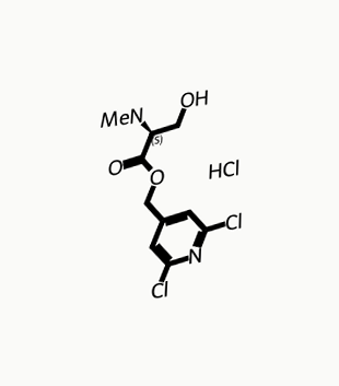 CN[C@@H](CO)C(=O)OCc1cc(Cl)nc(Cl)c1.Cl